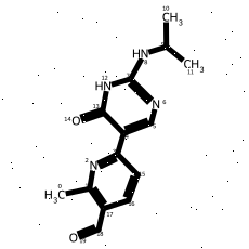 Cc1nc(-c2cnc(NC(C)C)[nH]c2=O)ccc1C=O